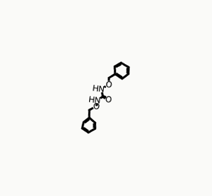 O=C(NOCc1ccccc1)NOCc1ccccc1